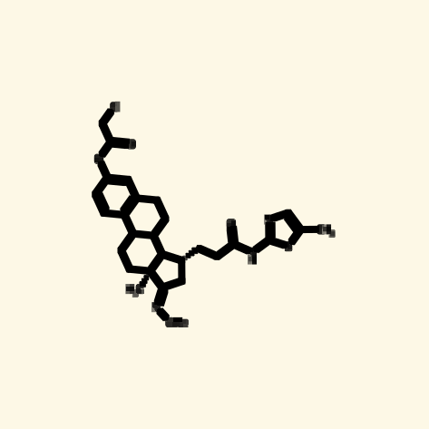 CO/N=C1\C[C@@H](CCC(=O)Nc2ncc(C)s2)C2C3CCc4cc(OC(=O)CCl)ccc4C3CC[C@]12C